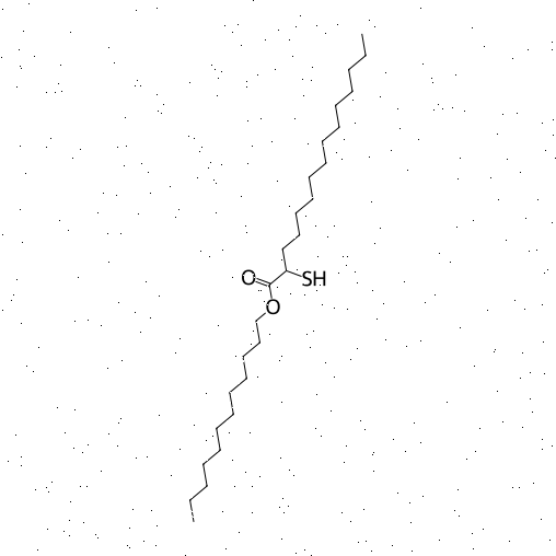 CCCCCCCCCCCCCC(S)C(=O)OCCCCCCCCCCCC